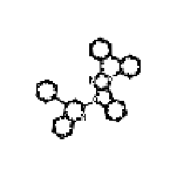 c1ccc(-c2cc(-n3c4ccccc4c4c3nc3c5ccccc5c5ccccc5n34)nc3ccccc23)cc1